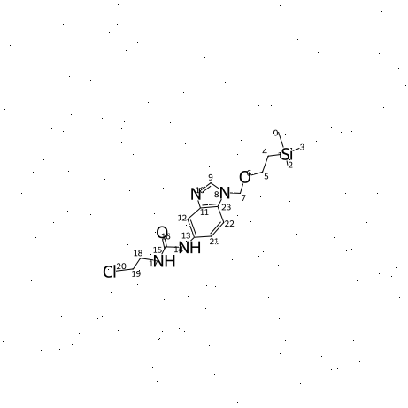 C[Si](C)(C)CCOCn1cnc2cc(NC(=O)NCCCl)ccc21